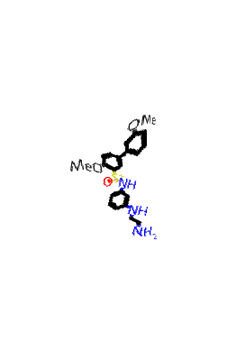 COc1cccc(-c2ccc(OC)c([S+]([O-])Nc3cccc(NCCN)c3)c2)c1